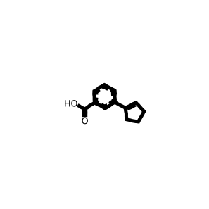 O=C(O)c1cccc(C2=CCCC2)c1